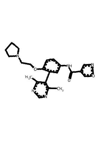 Cc1ncnc(C)c1-c1cc(NC(=O)c2cnoc2)ccc1OCCN1CCCC1